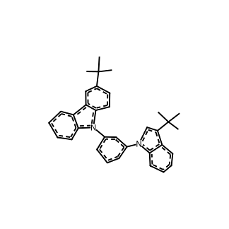 CC(C)(C)c1ccc2c(c1)c1ccccc1n2-c1cccc(-n2cc(C(C)(C)C)c3ccccc32)c1